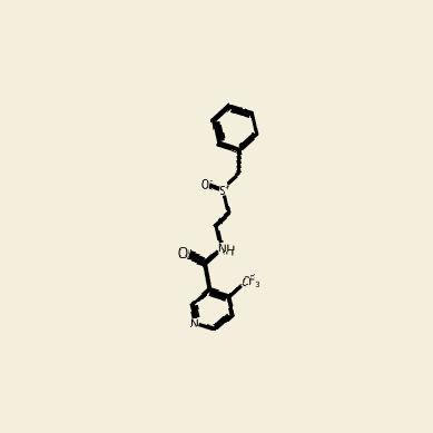 O=C(NCC[S+]([O-])Cc1ccccc1)c1cnccc1C(F)(F)F